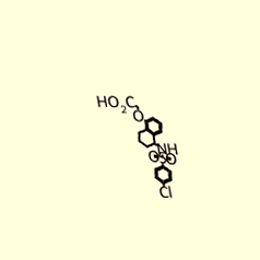 O=C(O)COc1cccc2c1CCCC2NS(=O)(=O)c1ccc(Cl)cc1